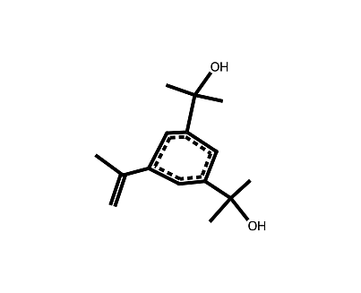 C=C(C)c1cc(C(C)(C)O)cc(C(C)(C)O)c1